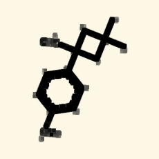 COc1ccc(C2(C=O)CC(C)(C)C2)cc1